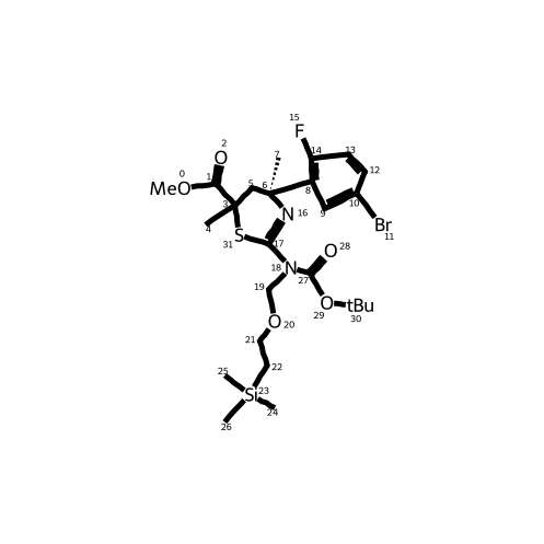 COC(=O)C1(C)C[C@@](C)(c2cc(Br)ccc2F)N=C(N(COCC[Si](C)(C)C)C(=O)OC(C)(C)C)S1